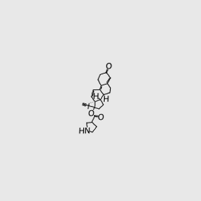 C#CC1(OC(=O)C2CCNC2)CC[C@H]2[C@@H]3CCC4=CC(=O)CCC4=C3C=C[C@@]21CC